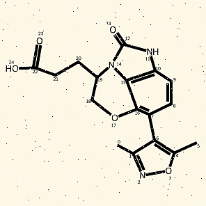 Cc1noc(C)c1-c1ccc2[nH]c(=O)n3c2c1OCC3CCC(=O)O